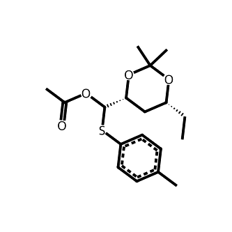 CC[C@@H]1C[C@H](C(OC(C)=O)Sc2ccc(C)cc2)OC(C)(C)O1